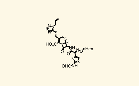 C=CCn1nnnc1SCC1=C(C(=O)O)N2C(=O)C(NC(=O)C(=NOCCCCCC)c3csc(NC=O)n3)[C@@H]2SC1